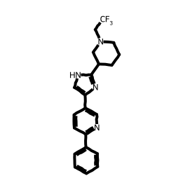 FC(F)(F)CN1CCCC(c2nc(-c3ccc(-c4ccccc4)nc3)c[nH]2)C1